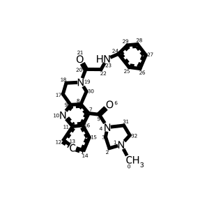 CN1CCN(C(=O)c2c3c(nc4ccccc24)CCN(C(=O)CNc2ccccc2)C3)CC1